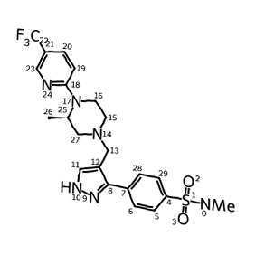 CNS(=O)(=O)c1ccc(-c2n[nH]cc2CN2CCN(c3ccc(C(F)(F)F)cn3)[C@H](C)C2)cc1